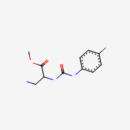 COC(=O)C(CN)NC(=O)Nc1ccc(F)cc1